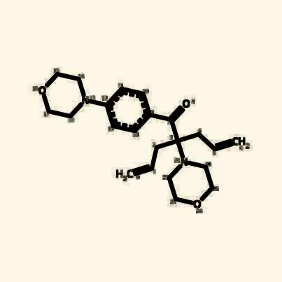 C=CCC(CC=C)(C(=O)c1ccc(N2CCOCC2)cc1)N1CCOCC1